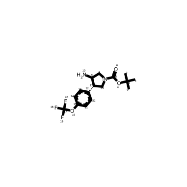 CC(C)(C)OC(=O)N1CC(N)[C@@H](c2ccc(OC(F)(F)F)cc2)C1